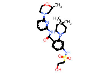 C[C@H]1CN(c2cccc(NC(=O)c3ccc(NS(=O)(=O)CCO)cc3N3CC[Si](C)(C)CC3)n2)CCO1